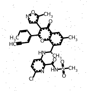 C#C/C=C(\C=C/C)c1oc2c([C@@H](C)Nc3ccc(Cl)nc3C(=O)NS(C)(=O)=O)cc(C)cc2c(=O)c1-c1cnoc1C